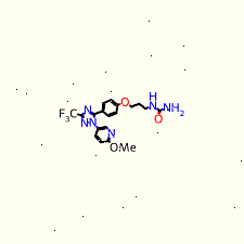 COc1ccc(-n2nc(C(F)(F)F)nc2-c2ccc(OCCCNC(N)=O)cc2)cn1